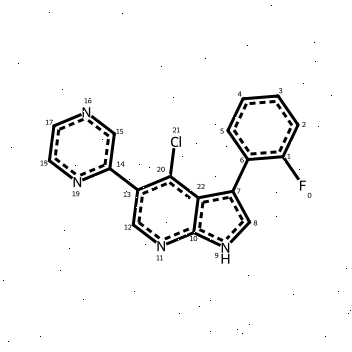 Fc1ccccc1-c1c[nH]c2ncc(-c3cnccn3)c(Cl)c12